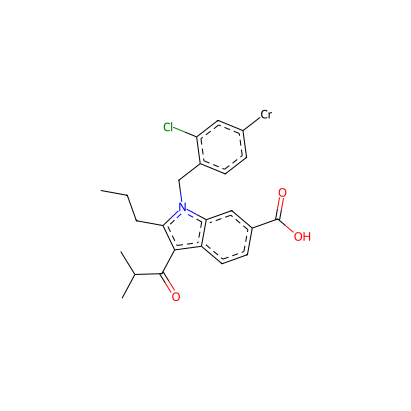 CCCc1c(C(=O)C(C)C)c2ccc(C(=O)O)cc2n1Cc1cc[c]([Cr])cc1Cl